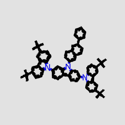 CC(C)(C)c1ccc2c(c1)c1cc(C(C)(C)C)ccc1n2-c1ccc2c3ccc(-n4c5ccc(C(C)(C)C)cc5c5cc(C(C)(C)C)ccc54)cc3n(-c3ccc4cc(-c5ccccc5)ccc4c3)c2c1